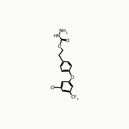 NNC(=O)OCCc1ccc(Oc2cc(Cl)cc(C(F)(F)F)c2)cc1